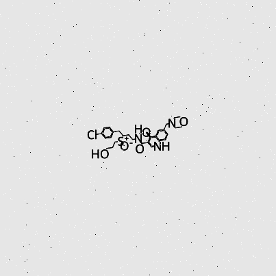 O=C(NCCC(Cc1ccc(Cl)cc1)[S+]([O-])CCCO)c1c[nH]c2ccc(CN3CCOCC3)cc2c1=O